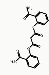 NC(=O)c1ccccc1OC(=O)CC(=O)Oc1ccccc1C(N)=O